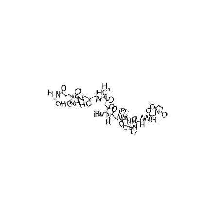 CC[C@H](C)C(NC(=O)CNC(=O)[C@H](CC(C)C)NC(=O)[C@@H]1CCCN1C(=O)CNNC(=O)CN1C(=O)C=CC1=O)C(=O)CC(=O)[C@H](C)NCC(=O)CNC(=O)[C@H](CCC(N)=O)NC=O